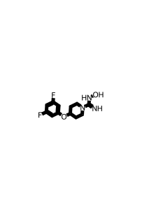 N=C(NO)N1CCC(Oc2cc(F)cc(F)c2)CC1